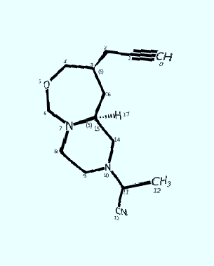 C#CC[C@@H]1COCN2CCN(C(C)C#N)C[C@@H]2C1